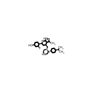 Cc1n[nH]c2nc(-c3ccc(O)cc3F)cc(CN3CCNC[C@@H]3c3ccc(C(C)C)cc3)c12